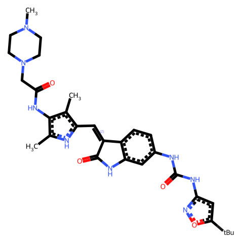 Cc1[nH]c(/C=C2\C(=O)Nc3cc(NC(=O)Nc4cc(C(C)(C)C)on4)ccc32)c(C)c1NC(=O)CN1CCN(C)CC1